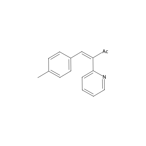 CC(=O)/C(=C/c1ccc(C)cc1)c1ccccn1